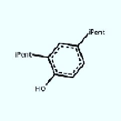 CCCC(C)c1ccc(O)c(C(C)CCC)c1